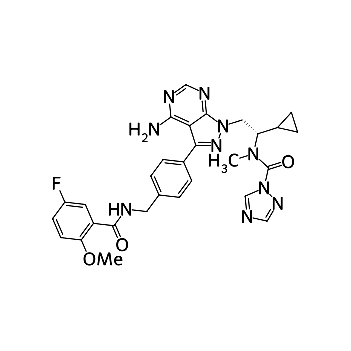 COc1ccc(F)cc1C(=O)NCc1ccc(-c2nn(C[C@H](C3CC3)N(C)C(=O)n3cncn3)c3ncnc(N)c23)cc1